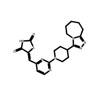 O=C1NC(=O)C(=Cc2ccnc(N3CCC(c4nnc5n4CCCCC5)CC3)n2)S1